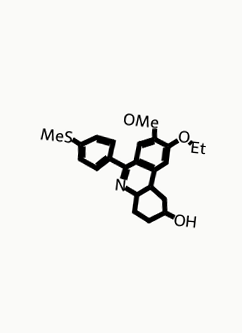 CCOc1cc2c(cc1OC)C(c1ccc(SC)cc1)=NC1CCC(O)CC21